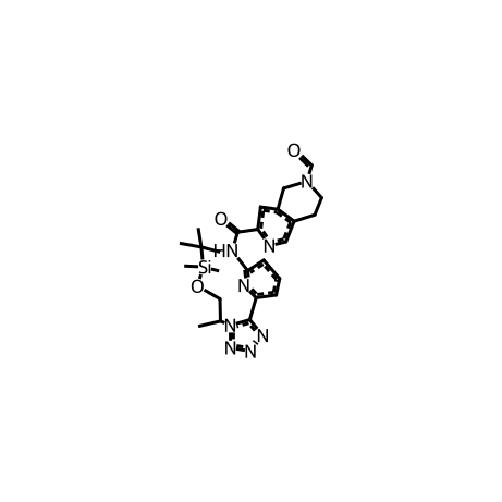 CC(CO[Si](C)(C)C(C)(C)C)n1nnnc1-c1cccc(NC(=O)c2cc3c(cn2)CCN(C=O)C3)n1